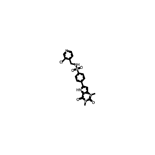 Cn1c(=O)c2[nH]c(-c3ccc(S(=O)(=O)NCc4ccncc4Cl)cc3)cc2n(C)c1=O